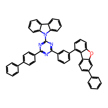 c1ccc(-c2ccc(-c3nc(-c4cccc(-c5cccc6oc7cc(-c8ccccc8)ccc7c56)c4)nc(-n4c5ccccc5c5ccccc54)n3)cc2)cc1